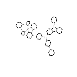 c1ccc(-c2ccc(N(c3ccc(-c4cccc5c4-c4ccccc4C54c5ccccc5-c5ccccc5-c5ccccc54)cc3)c3ccc4c(c3)c3ccccc3n4-c3ccccc3)cc2)cc1